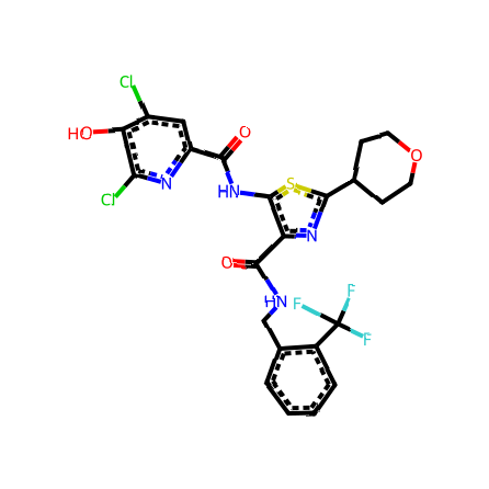 O=C(Nc1sc(C2CCOCC2)nc1C(=O)NCc1ccccc1C(F)(F)F)c1cc(Cl)c(O)c(Cl)n1